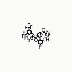 Cc1cc(F)ccc1C1CN(C(=O)c2nccs2)CC[C@H]1C(=O)N(C)Cc1cc(C(F)(F)F)cc(C(F)(F)F)c1